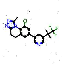 Cc1nnc2n1-c1c(Cl)cc(-c3cncc(C(C)(C)C(F)(F)F)c3)cc1CC2